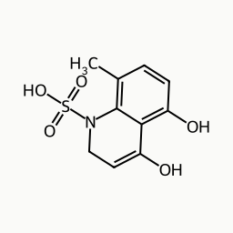 Cc1ccc(O)c2c1N(S(=O)(=O)O)CC=C2O